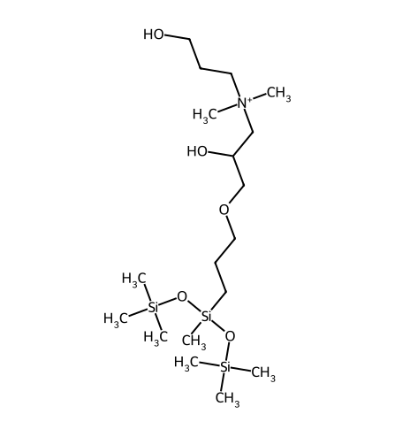 C[N+](C)(CCCO)CC(O)COCCC[Si](C)(O[Si](C)(C)C)O[Si](C)(C)C